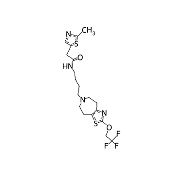 Cc1ncc(CC(=O)NCCCCN2CCc3nc(OCC(F)(F)F)sc3CC2)s1